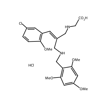 COc1cc(OC)c(CNC/C(=C\c2cc(Cl)ccc2OC)CNCC(=O)O)c(OC)c1.Cl